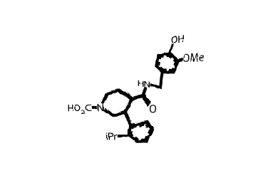 COc1cc(CNC(=O)C2CCN(C(=O)O)CC2c2ccccc2C(C)C)ccc1O